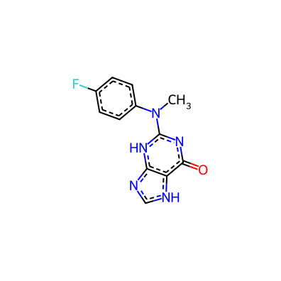 CN(c1ccc(F)cc1)c1nc(=O)c2[nH]cnc2[nH]1